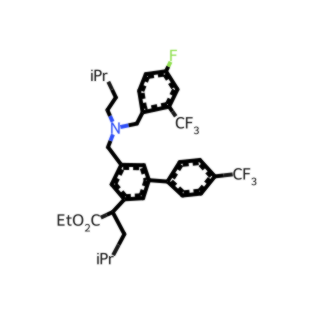 CCOC(=O)C(CC(C)C)c1cc(CN(CCC(C)C)Cc2ccc(F)cc2C(F)(F)F)cc(-c2ccc(C(F)(F)F)cc2)c1